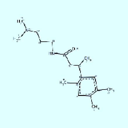 Cc1cc(C)c(C(C)CC(=O)NCCCN(C)C)cc1C